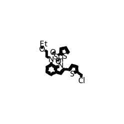 CCOCCN(c1cccc2cc(-c3ccc(CCl)s3)[nH]c12)S(=O)(=O)c1cccs1